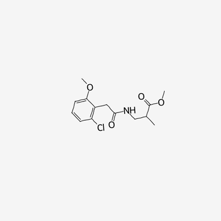 COC(=O)C(C)CNC(=O)Cc1c(Cl)cccc1OC